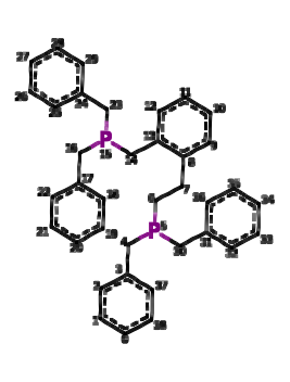 c1ccc(CP(CCc2ccccc2CP(Cc2ccccc2)Cc2ccccc2)Cc2ccccc2)cc1